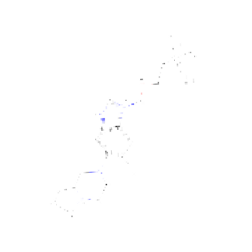 Cc1cc2c(cc1N1CCN3CCCC3C1)ncn2COCC[Si](C)(C)C